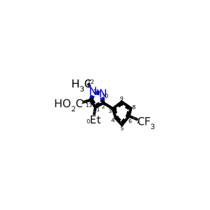 CCc1c(-c2ccc(C(F)(F)F)cc2)nn(C)c1C(=O)O